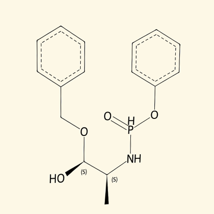 C[C@H](N[PH](=O)Oc1ccccc1)[C@@H](O)OCc1ccccc1